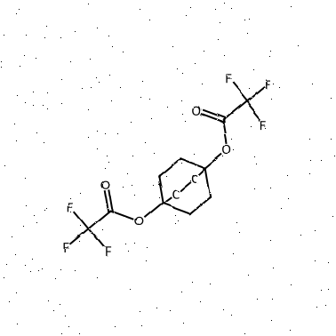 O=C(OC12CCC(OC(=O)C(F)(F)F)(CC1)CC2)C(F)(F)F